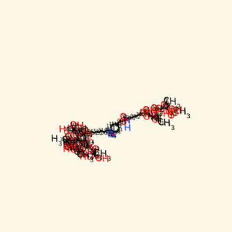 COP(=O)(O)OC1C[C@H](C)O[C@@H]1COP(=O)(O)OC1C[C@H](C)O[C@@H]1COP(=O)(O)OCCCCCCNC(=O)OCC1C2CCc3nnn(CCCCCCCOC(=O)C(C)(CCC(=O)C(C)(COC(=O)C(C)(CO)CO)COC(=O)C(C)(CO)CO)COC(=O)C(C)(COC(=O)C(C)(CO)CO)COC(=O)C(C)(CO)CO)c3CCC21